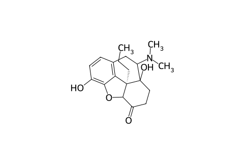 CCC[C@@]12c3c4ccc(O)c3OC1C(=O)CCC2(O)C(N(C)C)C4